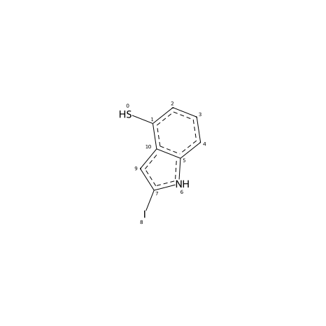 Sc1cccc2[nH]c(I)cc12